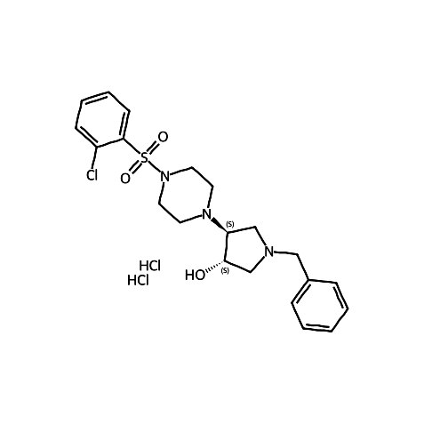 Cl.Cl.O=S(=O)(c1ccccc1Cl)N1CCN([C@H]2CN(Cc3ccccc3)C[C@@H]2O)CC1